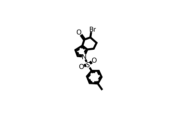 Cc1ccc(S(=O)(=O)n2ccc3c2CCC(Br)C3=O)cc1